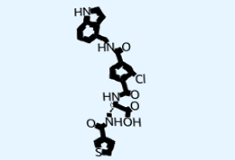 O=C(NCc1cccc2[nH]ccc12)c1ccc(C(=O)N[C@@H](CNC(=O)c2ccsc2)C(=O)O)c(Cl)c1